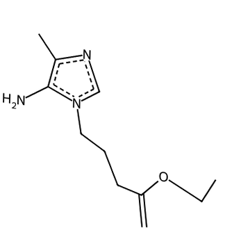 C=C(CCCn1cnc(C)c1N)OCC